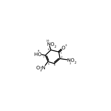 O=C1C([N+](=O)[O-])=CC([N+](=O)[O-])=C(O)C1[N+](=O)[O-]